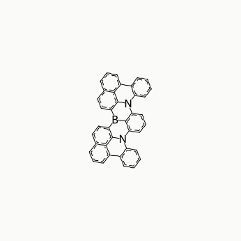 c1ccc2c(c1)-c1cccc3ccc4c(c13)N2c1cccc2c1B4c1ccc3cccc4c3c1N2c1ccccc1-4